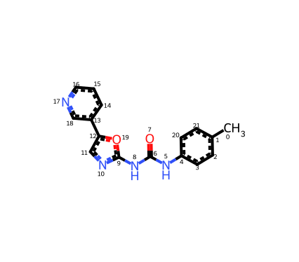 Cc1ccc(NC(=O)Nc2ncc(-c3cccnc3)o2)cc1